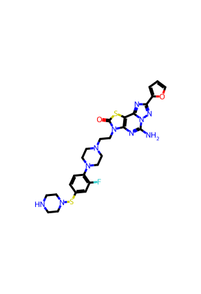 Nc1nc2c(sc(=O)n2CCN2CCN(c3ccc(SN4CCNCC4)cc3F)CC2)c2nc(-c3ccco3)nn12